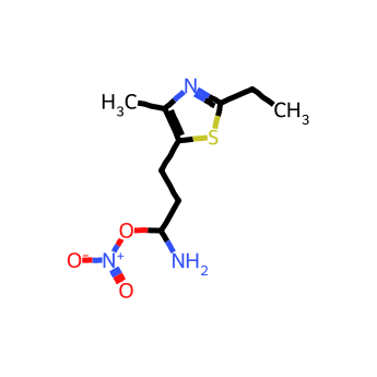 CCc1nc(C)c(CCC(N)O[N+](=O)[O-])s1